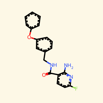 Nc1nc(F)ccc1C(=O)NCc1cccc(Oc2ccccc2)c1